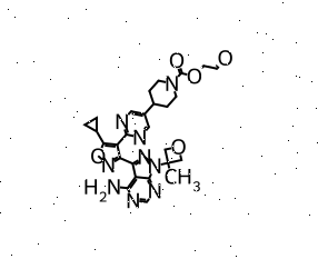 CC1(n2nc(-c3noc(C4CC4)c3-c3ncc(C4CCN(C(=O)OCC=O)CC4)cn3)c3c(N)ncnc32)COC1